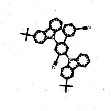 CC(C)(C)c1ccc2c(c1)c1ccccc1n2-c1cc(-c2cccc(C#N)c2)c(-n2c3ccccc3c3cc(C(C)(C)C)ccc32)cc1C#N